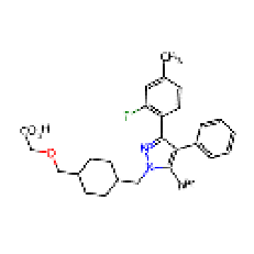 CCCc1c(-c2ccccc2)c(-c2ccc(C)cc2F)nn1CC1CCC(COCC(=O)O)CC1